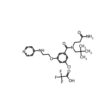 CC(C)(C)CN(CCC(N)=O)C(=O)c1cc(Cl)cc(OCCNc2ccncc2)c1.O=C(O)C(F)(F)F